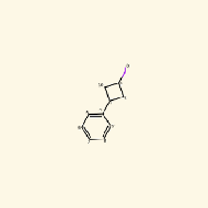 IC1CC(c2ccccc2)C1